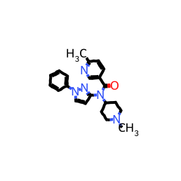 Cc1ccc(C(=O)N(c2ccn(-c3ccccc3)n2)C2CCN(C)CC2)cn1